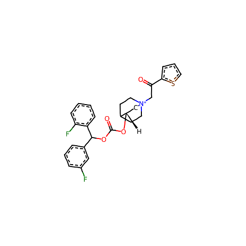 O=C(OC(c1cccc(F)c1)c1ccccc1F)O[C@H]1C[N+]2(CC(=O)c3cccs3)CCC1CC2